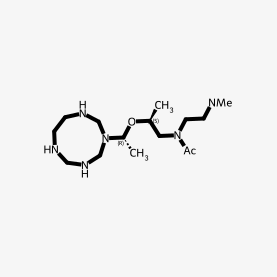 CNCCN(C[C@H](C)O[C@H](C)N1CNCCNCNC1)C(C)=O